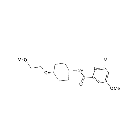 COCCO[C@H]1CC[C@H](NC(=O)c2cc(OC)cc(Cl)n2)CC1